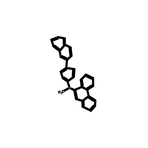 CN(c1ccc(-c2ccc3ccccc3c2)cc1)c1cc2ccccc2c2ccccc12